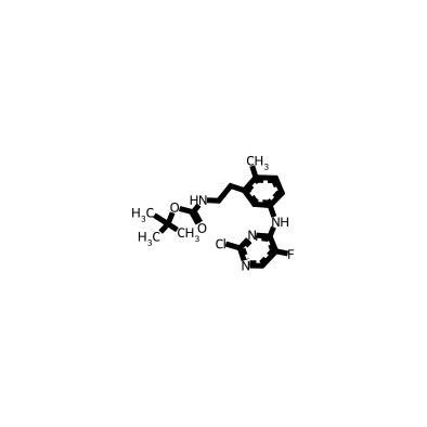 Cc1ccc(Nc2nc(Cl)ncc2F)cc1CCNC(=O)OC(C)(C)C